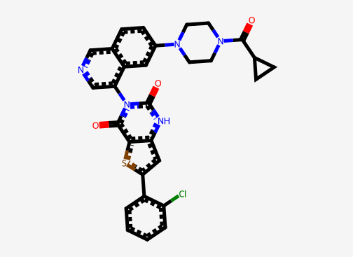 O=C(C1CC1)N1CCN(c2ccc3cncc(-n4c(=O)[nH]c5cc(-c6ccccc6Cl)sc5c4=O)c3c2)CC1